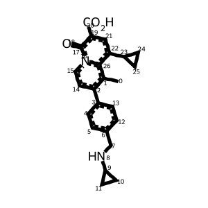 Cc1c(-c2ccc(CNC3CC3)cc2)ccn2c(=O)c(C(=O)O)cc(C3CC3)c12